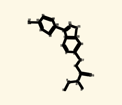 CON(C)C(=O)COc1ccc2c(-c3ccc(Br)cc3)nsc2c1